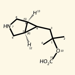 CC(C)(CC1[C@H]2CNC[C@@H]12)OC(=O)O